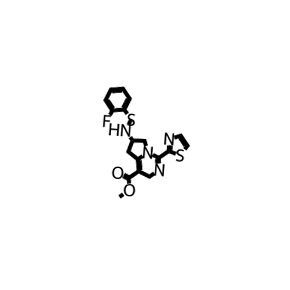 COC(=O)C1=C2CC(NSc3ccccc3F)CN2C(c2nccs2)=NC1